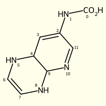 O=C(O)NC1=CC2NC=CNC2N=C1